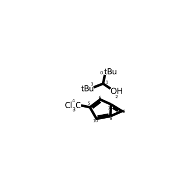 CC(C)(C)C(O)C(C)(C)C.ClC(Cl)(Cl)c1cc2cc-2c1